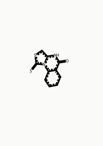 O=c1[nH]c2csc(=S)n2c2ccccc12